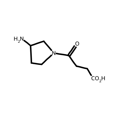 NC1CCN(C(=O)CCC(=O)O)C1